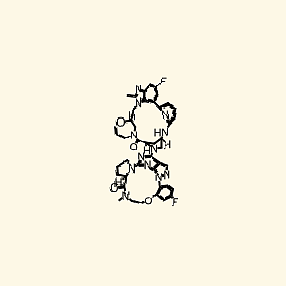 Cc1nc2cc(F)cc3c2n1C[C@H]1CN(CCCO1)C(=O)[C@@H]1C[C@@H](CN1c1nc2nc4c1cnn4-c1ccc(F)cc1OCCN(C)C(=O)[C@@H]1CCCN21)Nc1cccc-3n1